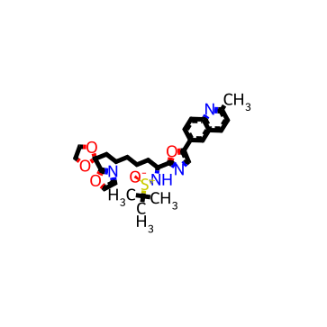 Cc1ccc2cc(-c3cnc(C(CCCCCC4(c5ncco5)OCCO4)N[S@+]([O-])C(C)(C)C)o3)ccc2n1